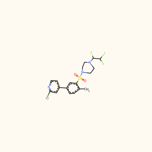 Cc1ccc(-c2ccnc(Cl)c2)cc1S(=O)(=O)N1CCN(C(F)C(F)F)CC1